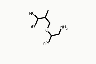 CCCC(CN)OCC(C)C(C#N)C(C)C